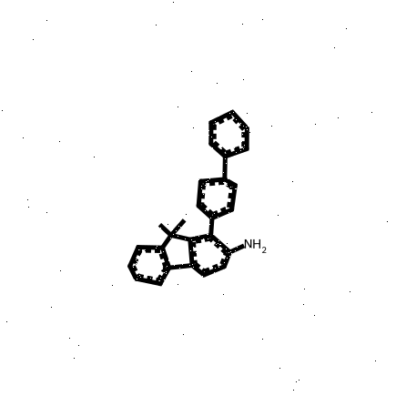 CC1(C)c2ccccc2-c2ccc(N)c(-c3ccc(-c4ccccc4)cc3)c21